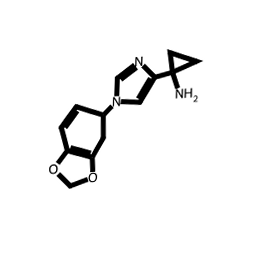 NC1(c2cn(C3C=CC4=C(C3)OCO4)cn2)CC1